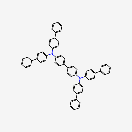 C1=CCC(c2ccc(N(C3=CCC(c4ccccc4)C=C3)c3ccc(-c4ccc(N(c5ccc(-c6ccccc6)cc5)c5ccc(-c6ccccc6)cc5)cc4)cc3)cc2)C=C1